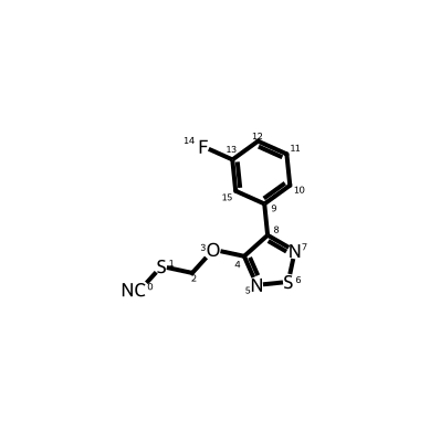 N#CSCOc1nsnc1-c1cccc(F)c1